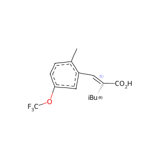 CC[C@@H](C)/C(=C\c1cc(OC(F)(F)F)ccc1C)C(=O)O